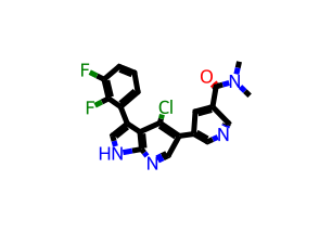 CN(C)C(=O)c1cncc(-c2cnc3[nH]cc(-c4cccc(F)c4F)c3c2Cl)c1